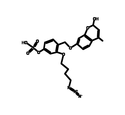 CC1=CC(O)Oc2cc(OCc3ccc(OS(=O)(=O)O)cc3OCCCCN=[N+]=[N-])ccc21